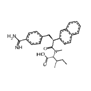 CCC(C)C(C(=O)O)N(C)C(=O)[C@@H](Cc1ccc(C(=N)N)cc1)c1ccc2ccccc2c1